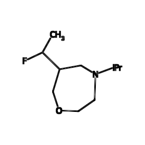 CC(F)C1COCCN(C(C)C)C1